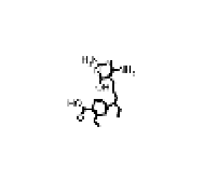 C=CC(CCCc1c(N)nc(N)nc1O)c1ccc(C(=O)O)c(CC)c1